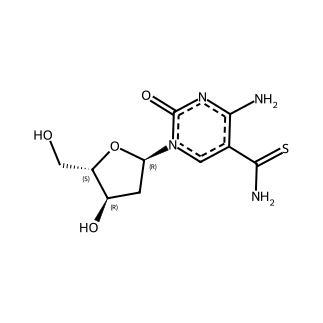 NC(=S)c1cn([C@H]2C[C@@H](O)[C@H](CO)O2)c(=O)nc1N